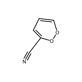 N#CC1=CC=COO1